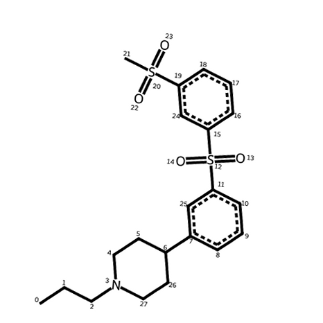 CCCN1CCC(c2cccc(S(=O)(=O)c3cccc(S(C)(=O)=O)c3)c2)CC1